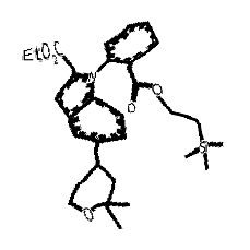 CCOC(=O)c1cc2cc(C3CCOC(C)(C)C3)ccc2n1-c1ccccc1C(=O)OCC[Si](C)(C)C